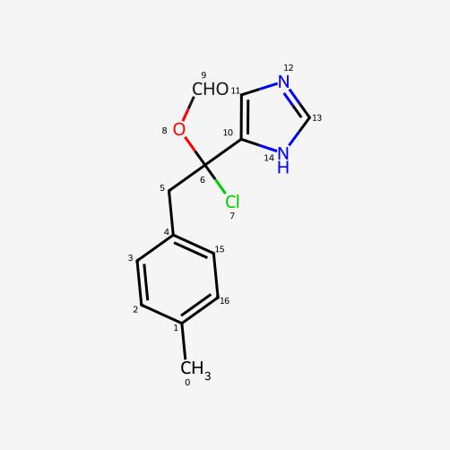 Cc1ccc(CC(Cl)(OC=O)c2cnc[nH]2)cc1